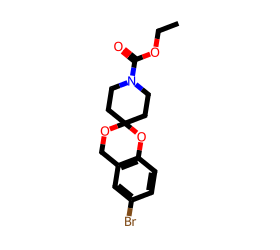 CCOC(=O)N1CCC2(CC1)OCc1cc(Br)ccc1O2